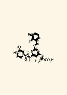 CC[C@@H]1CN(S(=O)(=O)Nc2cc(O[C@H](C)C(=O)O)nc(SCc3cccc(F)c3F)n2)CCN1